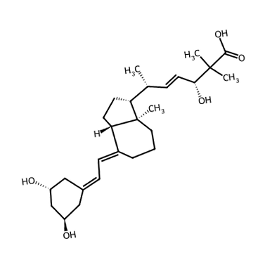 C[C@H](/C=C/[C@@H](O)C(C)(C)C(=O)O)[C@H]1CC[C@H]2/C(=C/C=C3C[C@@H](O)C[C@H](O)C3)CCC[C@]12C